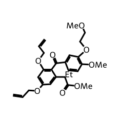 C=CCOc1cc(OCC=C)c(C(=O)c2ccc(OC)c(OCCOC)c2)c(C(CC)C(=O)OC)c1